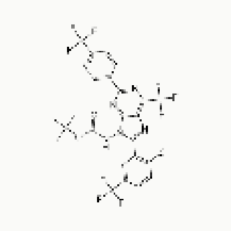 CC(C)(C)OC(=O)Nn1c(-c2cc(C(F)(F)F)ccc2Cl)nc2c(C(F)(F)F)nc(-c3ccc(C(F)(F)F)nc3)nc21